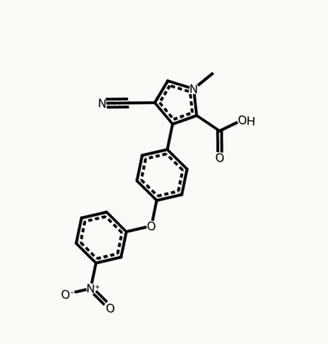 Cn1cc(C#N)c(-c2ccc(Oc3cccc([N+](=O)[O-])c3)cc2)c1C(=O)O